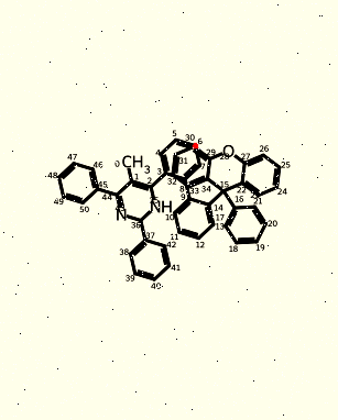 CC1=C(c2ccccc2-c2ccccc2C2(c3ccccc3)c3ccccc3Oc3ccccc32)NC(c2ccccc2)N=C1c1ccccc1